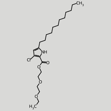 CCCCCCCCCCCCc1cc(Cl)c(C(=O)OCCOCCOCC)[nH]1